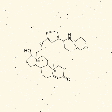 CCC(NC1CCOCC1)c1cccc(OCC[C@]23CCC4C(CCC5=CC(=O)CC[C@@]54C)C2CCC3O)c1